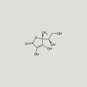 C[C@]1([C@H](O)CO)OC(=O)C(O)=C1O